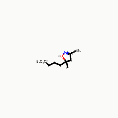 CCOC(=O)CCCC1(C)CC(C(C)(C)C)=NO1